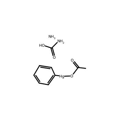 CC(=O)[O][Hg][c]1ccccc1.N.NC(=O)O